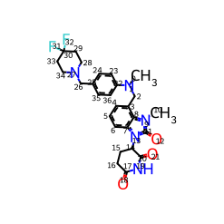 CN(Cc1cccc2c1n(C)c(=O)n2C1CCC(=O)NC1=O)c1ccc(CN2CCC(F)(F)CC2)cc1